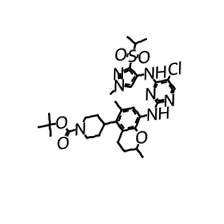 Cc1cc(Nc2ncc(Cl)c(Nc3cn(C)nc3S(=O)(=O)C(C)C)n2)c2c(c1C1CCN(C(=O)OC(C)(C)C)CC1)CCC(C)O2